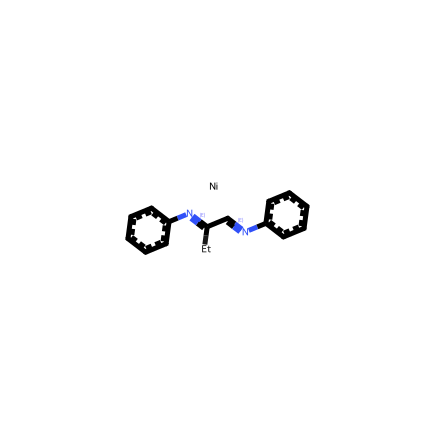 CCC(/C=N/c1ccccc1)=N\c1ccccc1.[Ni]